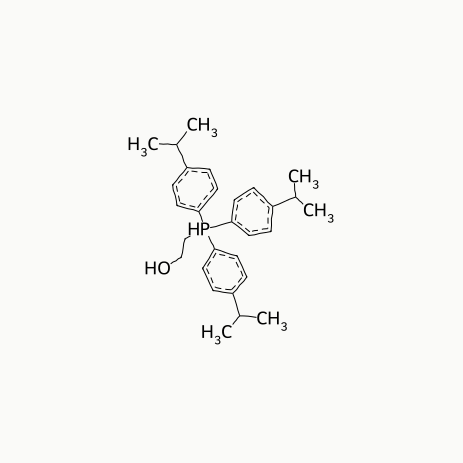 CC(C)c1ccc([PH](CCO)(c2ccc(C(C)C)cc2)c2ccc(C(C)C)cc2)cc1